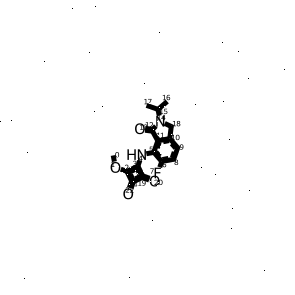 COc1c(Nc2c(F)ccc3c2C(=O)N(C(C)C)C3)c(=O)c1=O